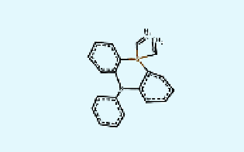 C=CS1(C=C)c2ccccc2B(c2ccccc2)c2ccccc21